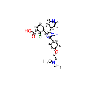 CN(C)CCOc1ccc(-c2nc(-c3cccc(C(=O)O)c3Cl)c(-c3ccncc3)[nH]2)cc1